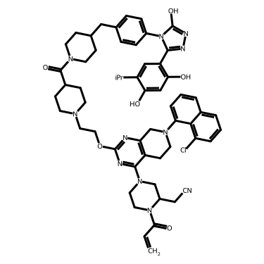 C=CC(=O)N1CCN(c2nc(OCCN3CCC(C(=O)N4CCC(Cc5ccc(-n6c(O)nnc6-c6cc(C(C)C)c(O)cc6O)cc5)CC4)CC3)nc3c2CCN(c2cccc4cccc(Cl)c24)C3)CC1CC#N